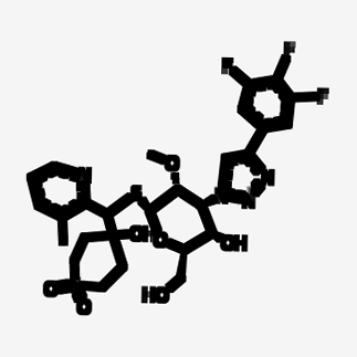 CO[C@@H]1[C@@H](n2cc(-c3cc(F)c(F)c(F)c3)nn2)[C@@H](O)[C@@H](CO)O[C@H]1SC(c1ncccc1C)C1(O)CCS(=O)(=O)CC1